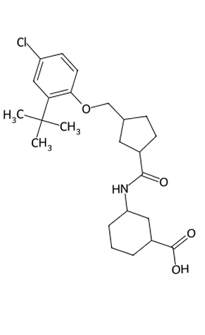 CC(C)(C)c1cc(Cl)ccc1OCC1CCC(C(=O)NC2CCCC(C(=O)O)C2)C1